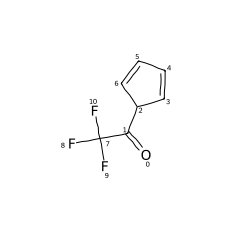 O=C(C1C=CC=C1)C(F)(F)F